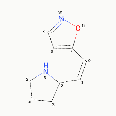 C(=C/C1CCCN1)/c1ccno1